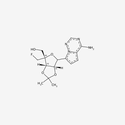 CC1(C)O[C@H]2C(c3ccc4c(N)ncnn34)O[C@@](CO)(CF)[C@H]2O1